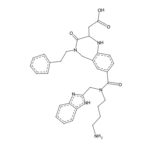 NCCCCN(Cc1nc2ccccc2[nH]1)C(=O)c1ccc2c(c1)CN(CCc1ccccc1)C(=O)C(CC(=O)O)N2